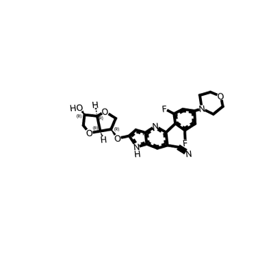 N#Cc1cc2[nH]c(O[C@@H]3CO[C@H]4[C@@H]3OC[C@H]4O)cc2nc1-c1c(F)cc(N2CCOCC2)cc1F